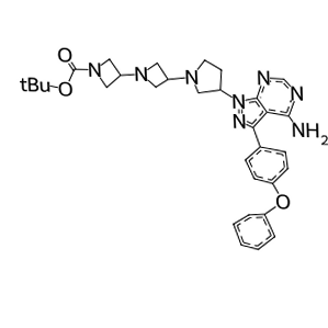 CC(C)(C)OC(=O)N1CC(N2CC(N3CCC(n4nc(-c5ccc(Oc6ccccc6)cc5)c5c(N)ncnc54)C3)C2)C1